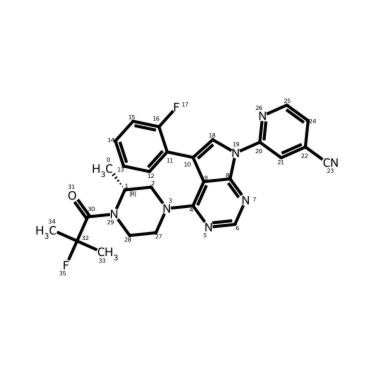 C[C@@H]1CN(c2ncnc3c2c(-c2ccccc2F)cn3-c2cc(C#N)ccn2)CCN1C(=O)C(C)(C)F